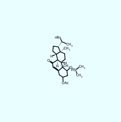 CCCCC(C)[C@H]1CC[C@H]2[C@@H]3C(=O)C=C4CC(OC(C)=O)CC(O[SiH](C)C)[C@]4(C)[C@H]3CC[C@]12C